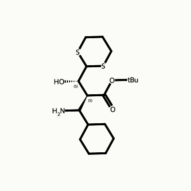 CC(C)(C)OC(=O)[C@@H](C(N)C1CCCCC1)[C@H](O)C1SCCCS1